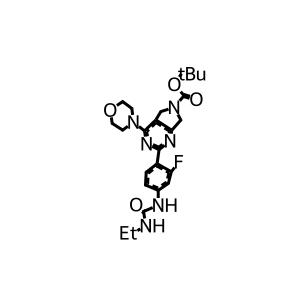 CCNC(=O)Nc1ccc(-c2nc3c(c(N4CCOCC4)n2)CN(C(=O)OC(C)(C)C)C3)c(F)c1